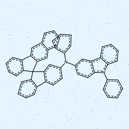 c1ccc(N(c2ccc3c(c2)C2(c4ccccc4-3)c3ccccc3-c3cc4ccccc4cc32)c2ccc3c(c2)c2ccccc2n3-c2ccccc2)cc1